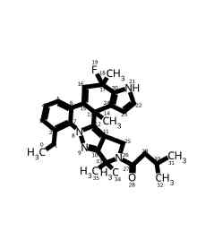 CCc1cccc2c1-n1nc3c(c1C1(C)C2=CC(C)(F)c2[nH]ccc21)CN(C(=O)CC(C)C)C3(C)C